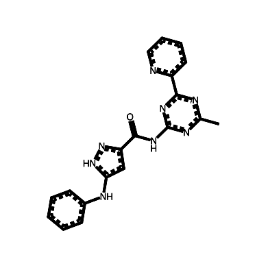 Cc1nc(NC(=O)c2cc(Nc3ccccc3)[nH]n2)nc(-c2ccccn2)n1